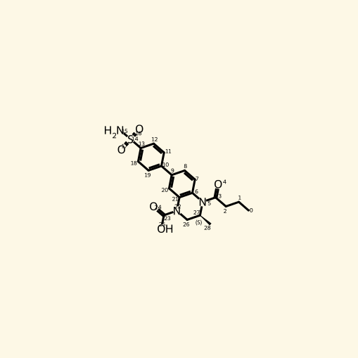 CCCC(=O)N1c2ccc(-c3ccc(S(N)(=O)=O)cc3)cc2N(C(=O)O)C[C@@H]1C